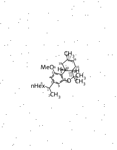 CCCCCCC(C)c1cc(OC)c2c(c1)OC(C)(C)[C@@H]1CC=C(C)C[C@@H]21